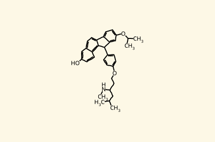 CNC(CCOc1ccc(C2c3cc(OC(C)C)ccc3-c3ccc4cc(O)ccc4c32)cc1)CC(C)C